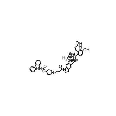 COc1cc2c(cc1CNC[C@H](O[Si](C)(C)C(C)(C)C)c1ccc(O)c3[nH]c(=O)ccc13)CCN2C(=O)CCCN1CCC(OC(=O)Nc2ccccc2-c2ccccc2)CC1